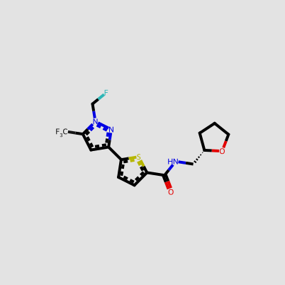 O=C(NC[C@@H]1CCCO1)c1ccc(-c2cc(C(F)(F)F)n(CF)n2)s1